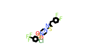 O=S(=O)(c1cc(C(F)(F)F)ccc1Cl)N1CCN(c2nc(Cc3ccc(F)c(F)c3)cs2)CC1